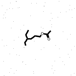 CCC(CC)CCCOC(C)=O